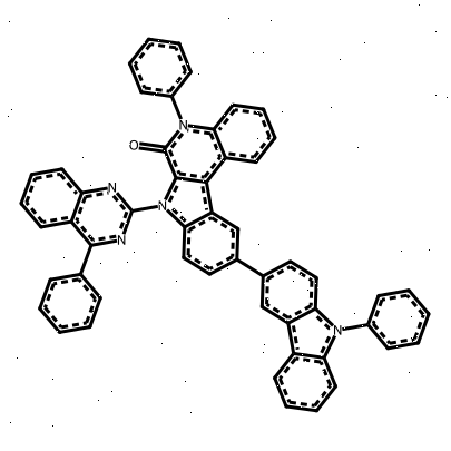 O=c1c2c(c3ccccc3n1-c1ccccc1)c1cc(-c3ccc4c(c3)c3ccccc3n4-c3ccccc3)ccc1n2-c1nc(-c2ccccc2)c2ccccc2n1